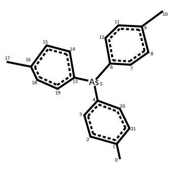 Cc1ccc([As](c2ccc(C)cc2)c2ccc(C)cc2)cc1